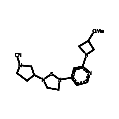 COC1CN(c2cc(N3CCN(C4CCN(C#N)C4)S3)ccn2)C1